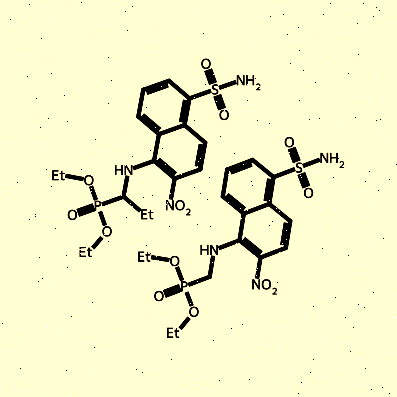 CCOP(=O)(CNc1c([N+](=O)[O-])ccc2c(S(N)(=O)=O)cccc12)OCC.CCOP(=O)(OCC)C(CC)Nc1c([N+](=O)[O-])ccc2c(S(N)(=O)=O)cccc12